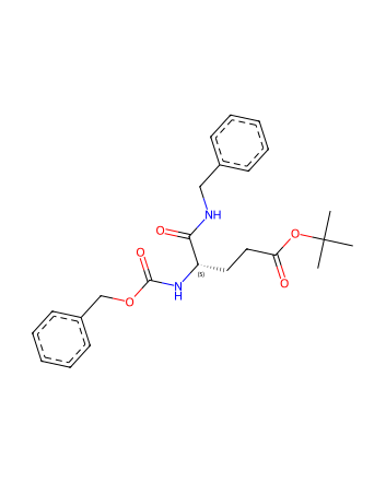 CC(C)(C)OC(=O)CC[C@H](NC(=O)OCc1ccccc1)C(=O)NCc1ccccc1